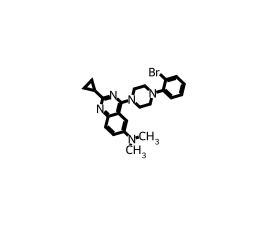 CN(C)c1ccc2nc(C3CC3)nc(N3CCN(c4ccccc4Br)CC3)c2c1